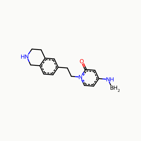 BNc1ccn(CCc2ccc3c(c2)CCNC3)c(=O)c1